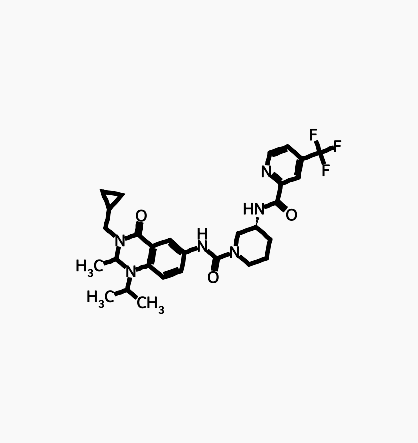 CC(C)N1c2ccc(NC(=O)N3CCC[C@@H](NC(=O)c4cc(C(F)(F)F)ccn4)C3)cc2C(=O)N(CC2CC2)C1C